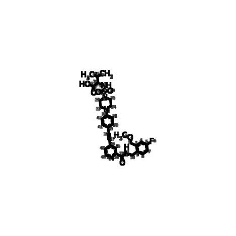 COCc1cc(F)ccc1CNC(=O)c1cc(C#Cc2ccc(N3CCN(S(=O)(=O)N[C@@H](C(=O)O)C(C)C)CC3)cc2)ccn1